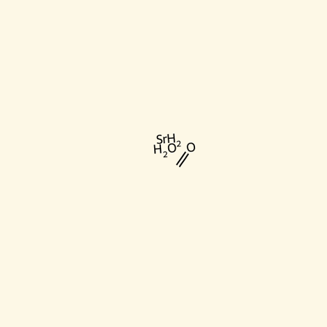 C=O.O.[SrH2]